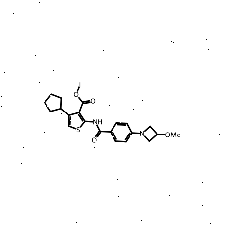 COC1CN(c2ccc(C(=O)Nc3scc(C4CCCC4)c3C(=O)OI)cc2)C1